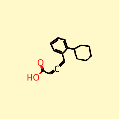 O=C(O)C=C=Cc1ccccc1C1CCCCC1